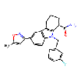 Cc1cc(-c2ccc3c(c2)c2c(n3Cc3cccc(F)c3)C(C(N)=O)C[C]C2)no1